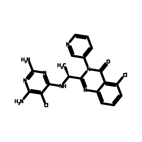 C[C@H](Nc1nc(N)nc(N)c1Cl)c1nc2cccc(Cl)c2c(=O)n1-c1cccnc1